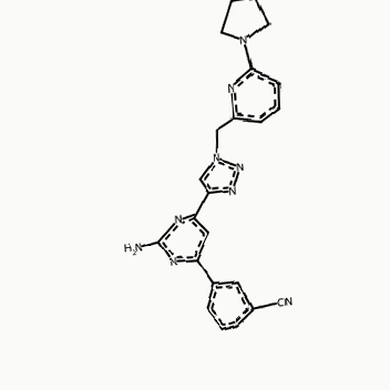 N#Cc1cccc(-c2cc(-c3cn(Cc4cccc(N5CCCC5)n4)nn3)nc(N)n2)c1